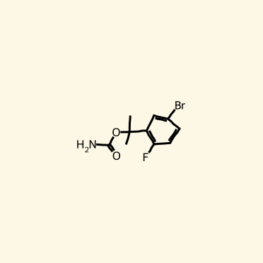 CC(C)(OC(N)=O)c1cc(Br)ccc1F